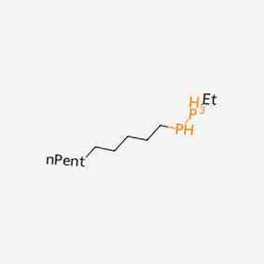 CCCCCCCCCCP[PH3]CC